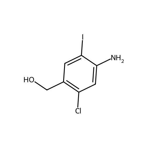 Nc1cc(Cl)c(CO)cc1I